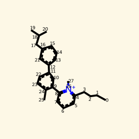 CCCCc1cccc(-c2cc(-c3cccc(CC(C)C)c3)ccc2C)[n+]1C